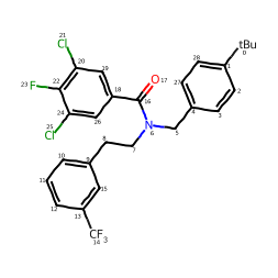 CC(C)(C)c1ccc(CN(CCc2cccc(C(F)(F)F)c2)C(=O)c2cc(Cl)c(F)c(Cl)c2)cc1